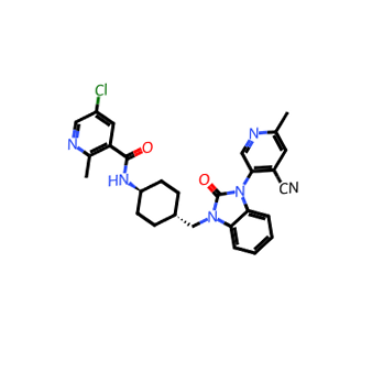 Cc1cc(C#N)c(-n2c(=O)n(C[C@H]3CC[C@H](NC(=O)c4cc(Cl)cnc4C)CC3)c3ccccc32)cn1